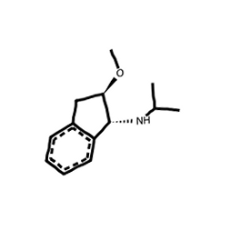 CO[C@@H]1Cc2ccccc2[C@H]1NC(C)C